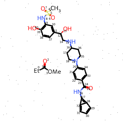 CCC(=O)OC.CS(=O)(=O)Nc1cc([C@@H](O)CNC2CCN(c3ccc(C(=O)Nc4c5cccc4-5)cc3)CC2)ccc1O